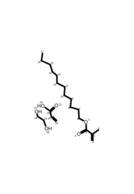 C=C(C)C(=O)OCCCCCCCCCCCC.C=CC(=O)O.OCCO